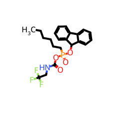 CCCCCCP(=O)(OC(=O)NCC(F)(F)F)OC1c2ccccc2-c2ccccc21